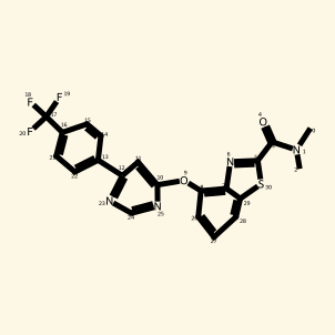 CN(C)C(=O)c1nc2c(Oc3cc(-c4ccc(C(F)(F)F)cc4)ncn3)cccc2s1